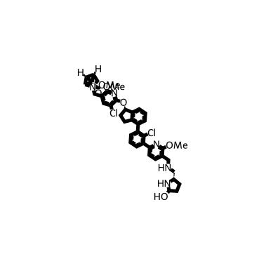 COC(=O)[C@]12C3[C@@H]1[C@@H]2CN3Cc1cc(Cl)c(O[C@H]2CCc3c(-c4cccc(-c5ccc(CNC[C@@H]6CCC(O)N6)c(OC)n5)c4Cl)cccc32)nc1OC